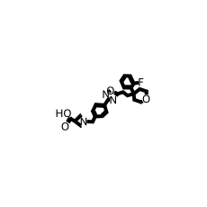 O=C(O)C1CN(Cc2ccc(-c3noc(CCC4(c5ccccc5F)CCOCC4)n3)cc2)C1